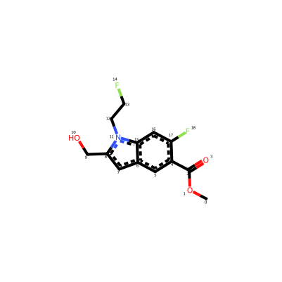 COC(=O)c1cc2cc(CO)n(CCF)c2cc1F